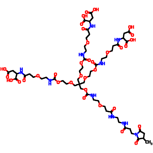 CC1CC(=O)N(CCC(=O)NCCNC(=O)CCOCCNC(=O)OCC(COCCOC(=O)NCCOCCC(=O)NC(CC(=O)O)C(=O)O)(COCCOC(=O)NCCOCCC(=O)NC(CC(=O)O)C(=O)O)COCCOC(=O)NCCOCCC(=O)NC(CC(=O)O)C(=O)O)C1=O